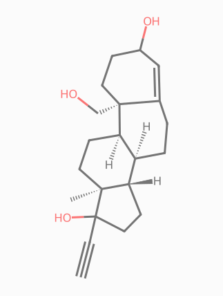 C#CC1(O)CC[C@H]2[C@@H]3CCC4=CC(O)CC[C@]4(CO)[C@@H]3CC[C@@]21C